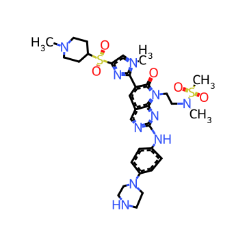 CN1CCC(S(=O)(=O)c2cn(C)c(-c3cc4cnc(Nc5ccc(N6CCNCC6)cc5)nc4n(CCN(C)S(C)(=O)=O)c3=O)n2)CC1